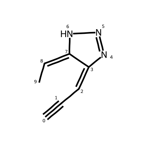 C#C/C=c1/nn[nH]/c1=C/C